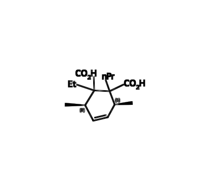 CCCC1(C(=O)O)[C@@H](C)C=C[C@@H](C)C1(CC)C(=O)O